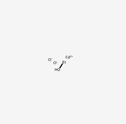 CCO.[Cd+2].[Cl-].[Cl-]